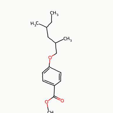 CCC(C)CC(C)COc1ccc(C(=O)OC)cc1